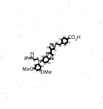 COc1cc(OC)cc(N(CCNC(C)C)c2ccc3ncc(-c4cnn(CCc5ccc(C(=O)O)cc5)c4)nc3c2)c1